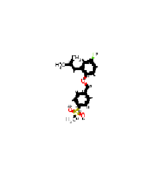 CC(C)Cc1cc(F)ccc1OCc1ccc(S(C)(=O)=O)cc1